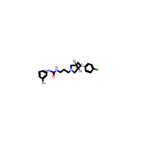 CC(=O)c1cccc(NC(=O)NCCCN2C[C@@H]3C[C@H](c4ccc(F)cc4)[C@@H]3C2)c1